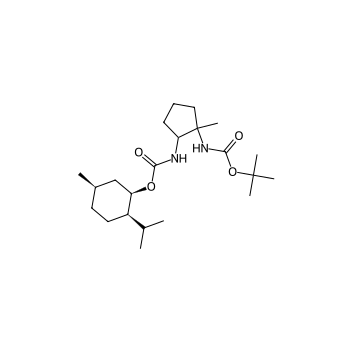 CC(C)[C@H]1CC[C@@H](C)C[C@H]1OC(=O)NC1CCCC1(C)NC(=O)OC(C)(C)C